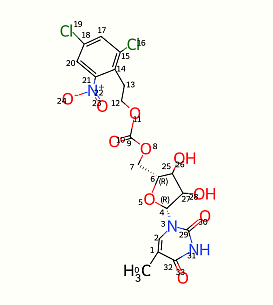 Cc1cn([C@@H]2O[C@H](COC(=O)OCCc3c(Cl)cc(Cl)cc3[N+](=O)[O-])C(O)C2O)c(=O)[nH]c1=O